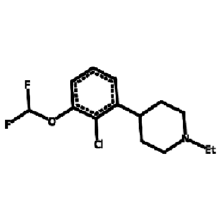 CCN1CCC(c2cccc(OC(F)F)c2Cl)CC1